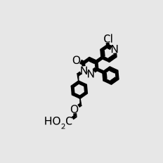 O=C(O)COC[C@H]1CC[C@@H](Cn2nc(-c3ccccc3)c(-c3ccnc(Cl)c3)cc2=O)CC1